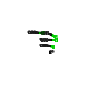 O=C([O-])Cl.O=C([O-])Cl.O=C([O-])Cl.O=C([O-])Cl.[C+4]